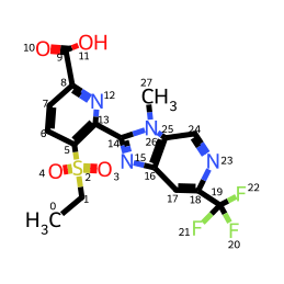 CCS(=O)(=O)c1ccc(C(=O)O)nc1-c1nc2cc(C(F)(F)F)ncc2n1C